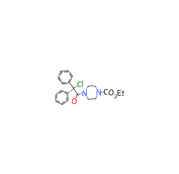 CCOC(=O)N1CCN(C(=O)C(Cl)(c2ccccc2)c2ccccc2)CC1